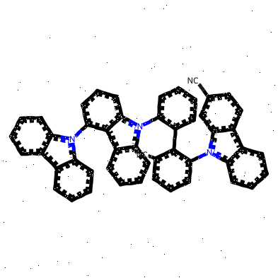 N#Cc1ccc2c3ccccc3n(-c3cccc(C#N)c3-c3ccccc3-n3c4ccccc4c4c(-n5c6ccccc6c6ccccc65)cccc43)c2c1